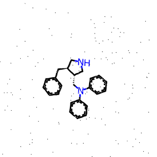 c1ccc(C[C@H]2CNC[C@@H]2CN(c2ccccc2)c2ccccc2)cc1